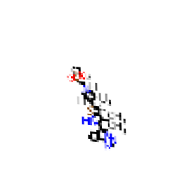 Cc1c([C@@H]2C[C@@H]3C[C@H]2CN3CCS(C)(=O)=O)sc2[nH]c(-c3cn4ncnc4c4c3CCC4)c(C(C)C)c12